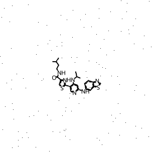 CC(C)CCNC(=O)c1csc(-c2cnc(Nc3ccc4ncsc4c3)cc2NC(C)C)n1